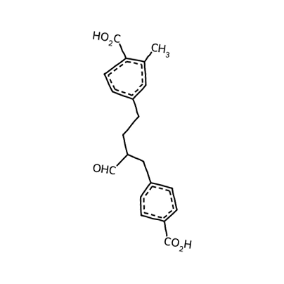 Cc1cc(CCC(C=O)Cc2ccc(C(=O)O)cc2)ccc1C(=O)O